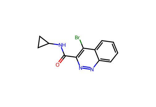 O=C(NC1CC1)c1nnc2ccccc2c1Br